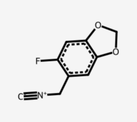 [C-]#[N+]Cc1cc2c(cc1F)OCO2